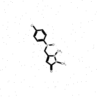 Cn1c(C[S+]([O-])c2ccc(Cl)cc2)cc(=O)n1C